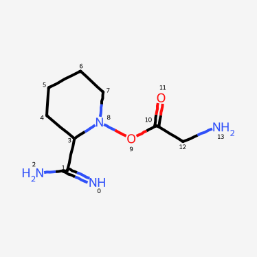 N=C(N)C1CCCCN1OC(=O)CN